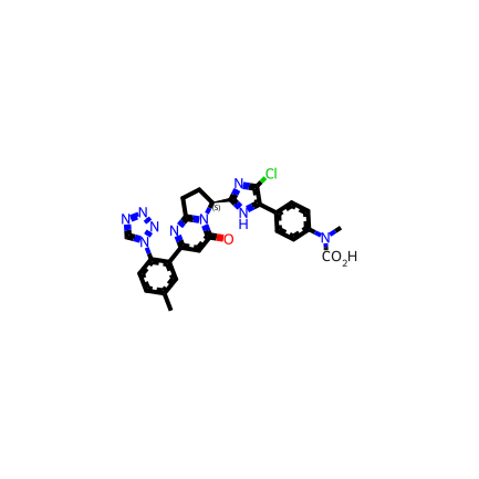 Cc1ccc(-n2cnnn2)c(-c2cc(=O)n3c(n2)CC[C@H]3c2nc(Cl)c(-c3ccc(N(C)C(=O)O)cc3)[nH]2)c1